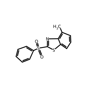 Cc1cccc2sc(S(=O)(=O)c3ccccc3)nc12